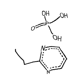 CCc1ncccn1.O=P(O)(O)O